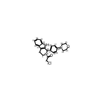 O=C(CCl)N1CCc2c([nH]c3ccccc23)[C@H]1c1ccc(N2CCOCC2)cc1